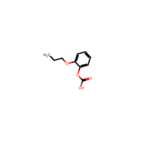 CCCOc1ccccc1OC(=O)O